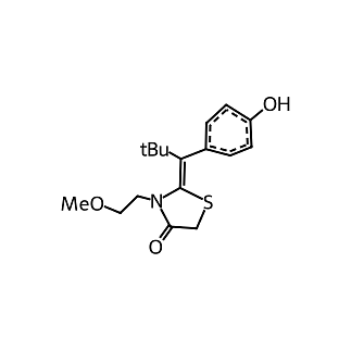 COCCN1C(=O)CSC1=C(c1ccc(O)cc1)C(C)(C)C